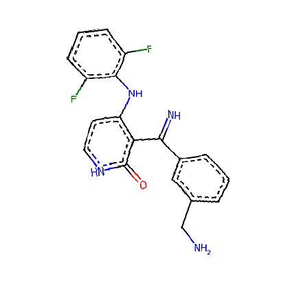 N=C(c1cccc(CN)c1)c1c(Nc2c(F)cccc2F)cc[nH]c1=O